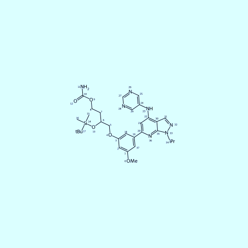 COc1cc(OCC(CCOC(N)=O)O[Si](C)(C)C(C)(C)C)cc(-c2cc(Nc3cncnc3)c3cnn(C(C)C)c3n2)c1